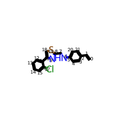 C=Cc1ccc(NCc2nc(-c3ccccc3Cl)cs2)cc1